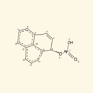 O=[PH](O)OC1C=Cc2cccc3cccc1c23